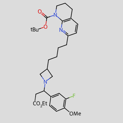 CCOC(=O)CC(c1ccc(OC)c(F)c1)N1CC(CCCCc2ccc3c(n2)N(C(=O)OC(C)(C)C)CCC3)C1